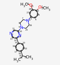 COc1ccc(N2CCN(c3cncc(-c4ccc(C(C)C)cc4)n3)CC2)cc1OC